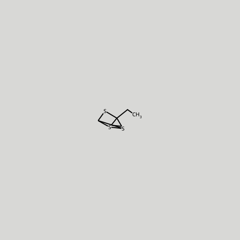 CCC12SC3S1=S32